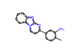 Cc1ccc(-c2ccn3c(n2)nc2ccccc23)cc1N